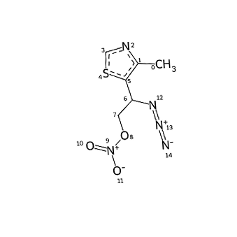 Cc1ncsc1C(CO[N+](=O)[O-])N=[N+]=[N-]